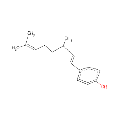 CC(C)=CCCC(C)/C=C/c1ccc(O)cc1